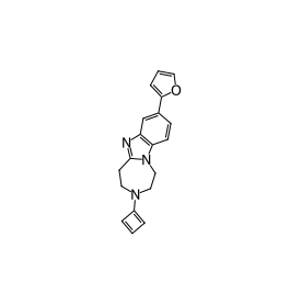 C1=CC(N2CCc3nc4cc(-c5ccco5)ccc4n3CC2)=C1